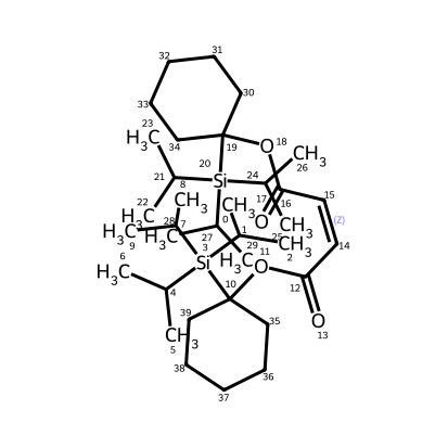 CC(C)[Si](C(C)C)(C(C)C)C1(OC(=O)/C=C\C(=O)OC2([Si](C(C)C)(C(C)C)C(C)C)CCCCC2)CCCCC1